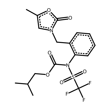 Cc1cn(Cc2ccccc2N(C(=O)OCC(C)C)S(=O)(=O)C(F)(F)F)c(=O)o1